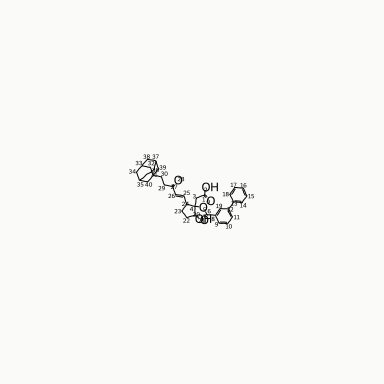 O=C(O)CC1(OC(=O)c2cccc(-c3ccccc3)c2)C(O)CCC1C=CC(=O)CCC12CC3CC(CC(C3)C1)C2